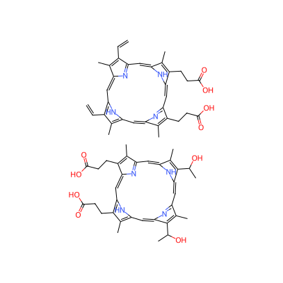 C=CC1=C(C)c2cc3[nH]c(cc4nc(cc5[nH]c(cc1n2)c(C)c5CCC(=O)O)C(CCC(=O)O)=C4C)c(C)c3C=C.CC1=C(CCC(=O)O)c2cc3[nH]c(cc4nc(cc5[nH]c(cc1n2)c(C)c5C(C)O)C(C)=C4C(C)O)c(C)c3CCC(=O)O